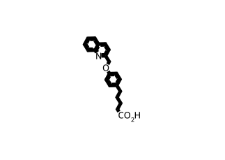 O=C(O)CCCCc1ccc(OCc2ccc3ccccc3n2)cc1